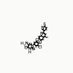 Cc1cc(-c2ccc(F)nc2)nc2ccc(Oc3c(Cl)cc(-n4nc(N)c(=O)[nH]c4=O)cc3Cl)cc12